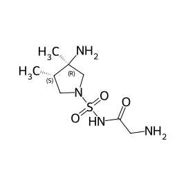 C[C@H]1CN(S(=O)(=O)NC(=O)CN)C[C@]1(C)N